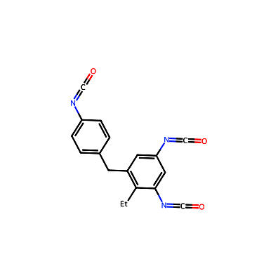 CCc1c(Cc2ccc(N=C=O)cc2)cc(N=C=O)cc1N=C=O